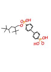 CC(CC(COP(=O)(O)c1ccc(-c2ccc(P(=O)(O)O)cc2)cc1)C(C)(C)C)C(C)(C)C